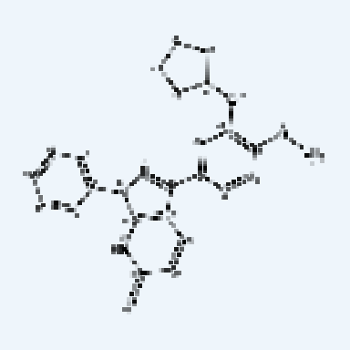 COc1ccc(-c2nn(-c3ccccc3)c3[nH]c(=O)ccc23)cc1OC1CCCC1